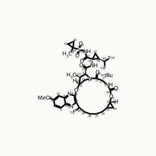 COc1ccc2nc3c(nc2c1)O[C@H]1CN(C(=O)[C@H](C(C)(C)C)NC(=O)O[C@@H]2CC2CCCCC3F)[C@H](C(=O)N[C@]2(C(=O)NS(=O)(=O)C3(C)CC3)C[C@H]2C(F)F)[C@@H]1C